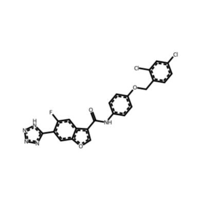 O=C(Nc1ccc(OCc2ccc(Cl)cc2Cl)cc1)c1coc2cc(-c3nnn[nH]3)c(F)cc12